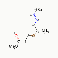 COC(=O)CCSC(C)CN=NC(C)(C)C